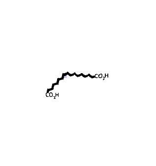 O=C(O)CCCCCC/C=C\CCCCCCCC(=O)O